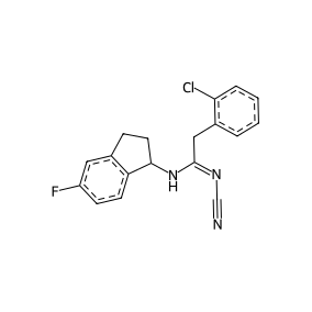 N#C/N=C(/Cc1ccccc1Cl)NC1CCc2cc(F)ccc21